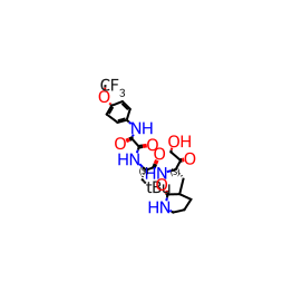 CC(C)(C)C[C@H](NC(=O)C(=O)Nc1ccc(OC(F)(F)F)cc1)C(=O)N[C@@H](CC1CCCNC1=O)C(=O)CO